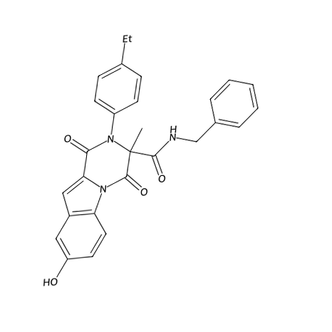 CCc1ccc(N2C(=O)c3cc4cc(O)ccc4n3C(=O)C2(C)C(=O)NCc2ccccc2)cc1